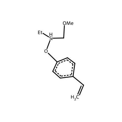 C=Cc1ccc(O[SiH](CC)COC)cc1